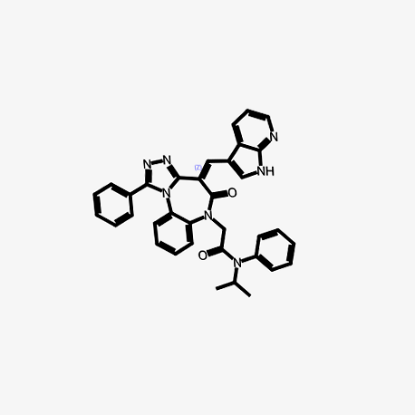 CC(C)N(C(=O)CN1C(=O)/C(=C\c2c[nH]c3ncccc23)c2nnc(-c3ccccc3)n2-c2ccccc21)c1ccccc1